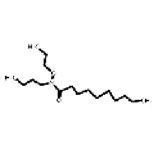 CCCCCCCCCC(=O)N(CCCC)OCCC